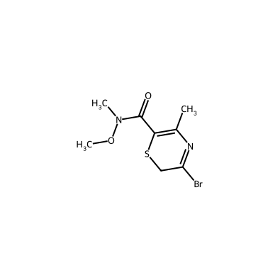 CON(C)C(=O)C1=C(C)N=C(Br)CS1